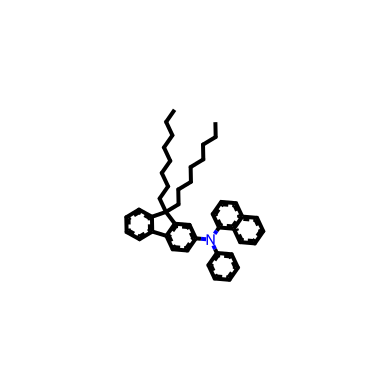 CCCCCCCCC1(CCCCCCCC)c2ccccc2-c2ccc(N(c3ccccc3)c3cccc4ccccc34)cc21